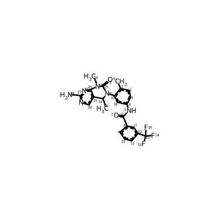 Cc1ccc(NC(=O)c2cccc(C(F)(F)F)c2)cc1N1C(=O)N(C)c2nc(N)ncc2C1C